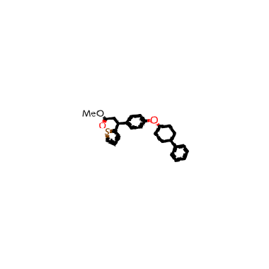 COC(=O)CC(c1ccc(OC2CCC(c3ccccc3)CC2)cc1)c1cccs1